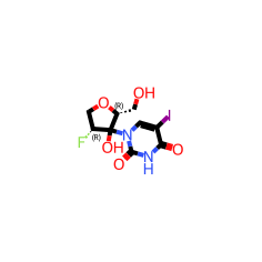 O=c1[nH]c(=O)n(C2(O)[C@H](F)CO[C@@H]2CO)cc1I